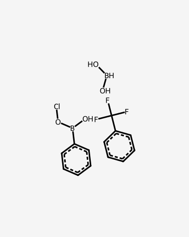 FC(F)(F)c1ccccc1.OB(OCl)c1ccccc1.OBO